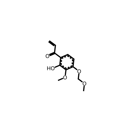 C=CC(=O)c1ccc(OCOC)c(OC)c1O